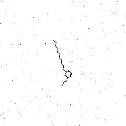 CCCCCCCCCCC[n+]1cccc(CCC)c1.[F-]